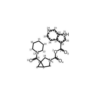 O=C(OC(=O)N1CC2CC2(C(=O)N2CCCCC2)C1)c1c[nH]c2cnccc12